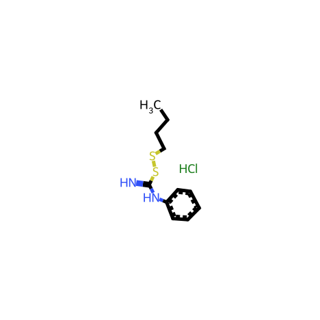 CCCCSSC(=N)Nc1ccccc1.Cl